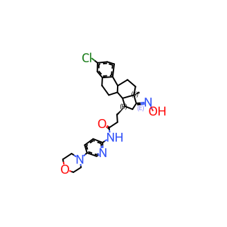 C[C@]12CCC3c4ccc(Cl)cc4CCC3C1[C@H](CCC(=O)Nc1ccc(N3CCOCC3)cn1)C/C2=N\O